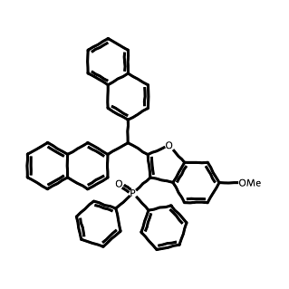 COc1ccc2c(P(=O)(c3ccccc3)c3ccccc3)c(C(c3ccc4ccccc4c3)c3ccc4ccccc4c3)oc2c1